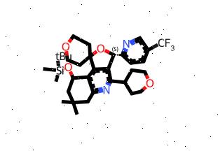 CC1(C)Cc2nc(C3CCOCC3)c3c(c2C(O[Si](C)(C)C(C)(C)C)C1)C1(CCOCC1)O[C@@H]3c1ccc(C(F)(F)F)cn1